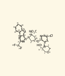 C[C@H]1COCC[C@]1(O)c1cc(Cl)cnc1O[C@@H]1CC(c2nc(C(F)F)nc3c2oc2ccccc23)[C@H](C(=O)O)C1